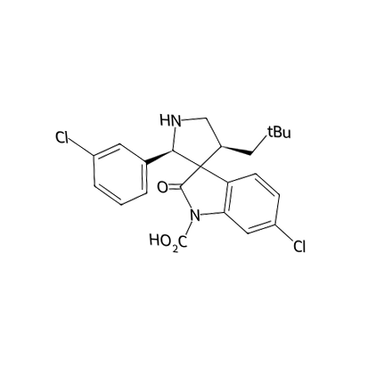 CC(C)(C)C[C@@H]1CN[C@H](c2cccc(Cl)c2)C12C(=O)N(C(=O)O)c1cc(Cl)ccc12